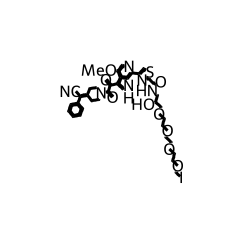 COc1cnc(-c2csc(C(=O)NCC(O)COCCOCCOCCOCI)n2)c2[nH]cc(C(=O)C(=O)N3CCC(=C(C#N)c4ccccc4)CC3)c12